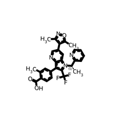 Cc1cc(-c2c(C(F)(F)F)n([C@@H](C)c3ccccn3)c3cc(-c4c(C)noc4C)cnc23)ccc1C(=O)O